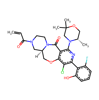 C=CC(=O)N1CCN2C(=O)c3c(N4CC(C)(C)OC[C@@H]4C)nc(-c4c(O)cccc4F)c(Cl)c3OC[C@H]2C1